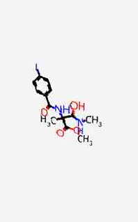 CNC(O)C(C)(NC(=O)c1ccc(I)cc1)C(=O)OC